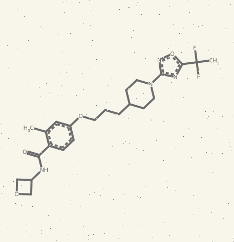 Cc1cc(OCCCC2CCN(c3noc(C(C)(F)F)n3)CC2)ccc1C(=O)NC1COC1